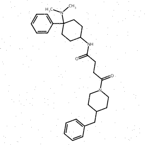 CN(C)C1(c2ccccc2)CCC(NC(=O)CCC(=O)N2CCC(Cc3ccccc3)CC2)CC1